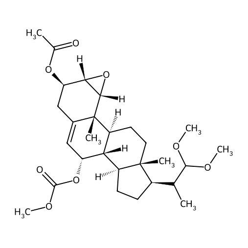 COC(=O)O[C@@H]1C=C2C[C@@H](OC(C)=O)[C@@H]3O[C@@H]3[C@]2(C)[C@H]2CC[C@]3(C)[C@@H](C(C)C(OC)OC)CC[C@H]3[C@H]12